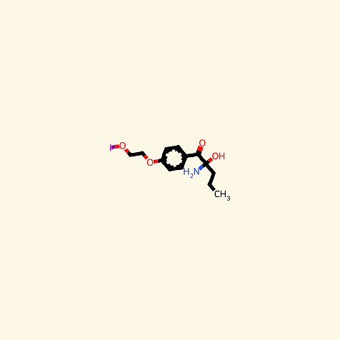 CCCC(N)(O)C(=O)c1ccc(OCCOI)cc1